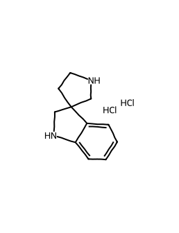 Cl.Cl.c1ccc2c(c1)NCC21CCNC1